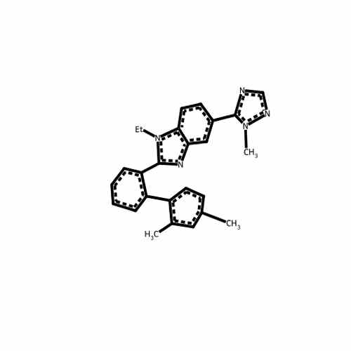 CCn1c(-c2ccccc2-c2ccc(C)cc2C)nc2cc(-c3ncnn3C)ccc21